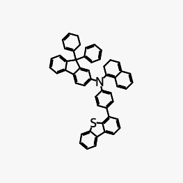 C1=CCCC(C2(c3ccccc3)c3ccccc3-c3ccc(N(C4=c5ccccc5=CCC4)c4ccc(-c5cccc6c5sc5ccccc56)cc4)cc32)=C1